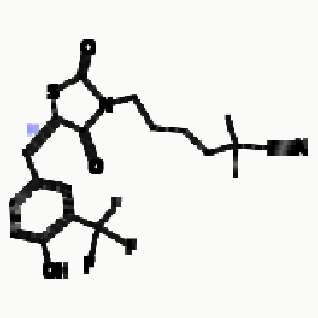 CC(C)(C#N)CCCCN1C(=O)S/C(=C/c2ccc(O)c(C(F)(F)F)c2)C1=O